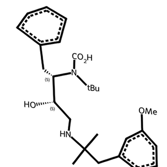 COc1cccc(CC(C)(C)NC[C@H](O)[C@H](Cc2ccccc2)N(C(=O)O)C(C)(C)C)c1